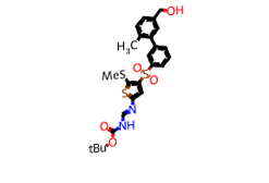 CSc1sc(/N=C/NC(=O)OC(C)(C)C)cc1S(=O)(=O)c1cccc(-c2cc(CO)ccc2C)c1